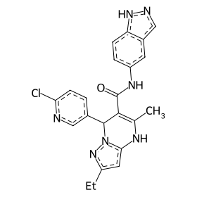 CCc1cc2n(n1)C(c1ccc(Cl)nc1)C(C(=O)Nc1ccc3[nH]ncc3c1)=C(C)N2